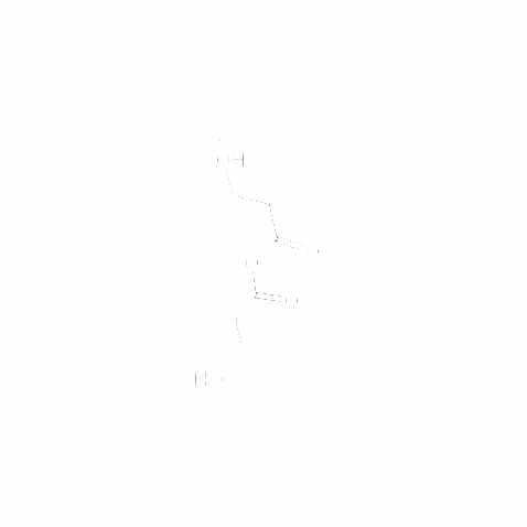 O=C(CCO)OC(=O)CCO